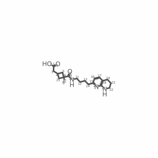 O=C(O)CC1CC(F)(C(=O)NCCCCc2ccc3c(n2)NCCC3)C1